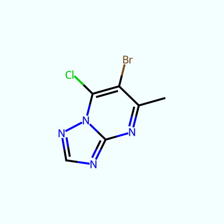 Cc1nc2ncnn2c(Cl)c1Br